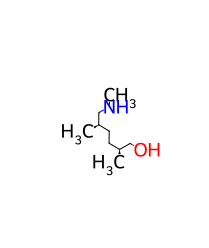 CNC[C@H](C)CC[C@H](C)CO